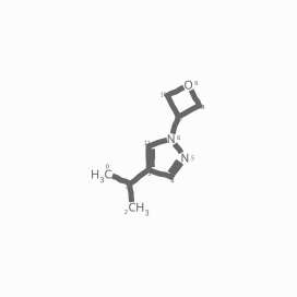 CC(C)c1cnn(C2COC2)c1